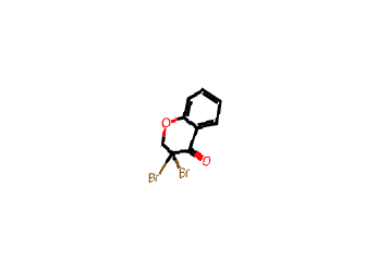 O=C1c2ccccc2OCC1(Br)Br